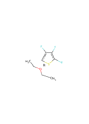 CCOCC.Fc1csc(F)c1F.[B]